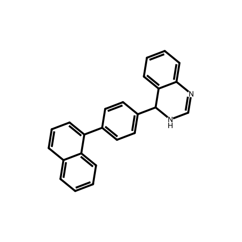 C1=Nc2ccccc2C(c2ccc(-c3cccc4ccccc34)cc2)N1